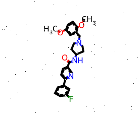 COc1ccc(OC)c(CN2CCC(NC(=O)c3ccc(-c4cccc(F)c4)nc3)CC2)c1